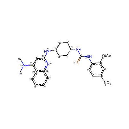 COc1cc([N+](=O)[O-])ccc1NC(=S)N[C@H]1CC[C@@H](Nc2cc(N(C)C)c3ccccc3n2)CC1